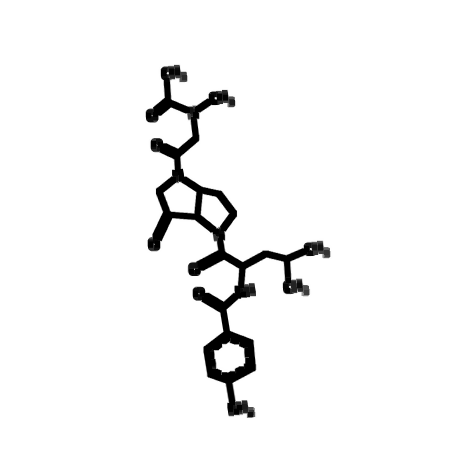 CC(=O)N(C)CC(=O)N1CC(=O)C2C1CCN2C(=O)C(CC(C)C)NC(=O)c1ccc(N)cc1